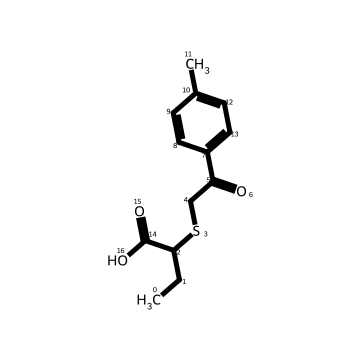 CCC(SCC(=O)c1ccc(C)cc1)C(=O)O